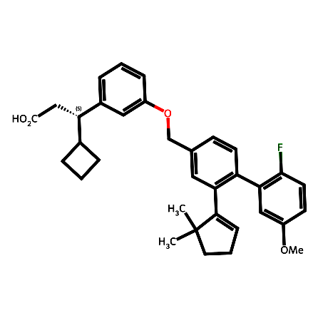 COc1ccc(F)c(-c2ccc(COc3cccc([C@@H](CC(=O)O)C4CCC4)c3)cc2C2=CCCC2(C)C)c1